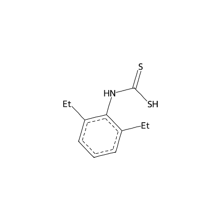 CCc1cccc(CC)c1NC(=S)S